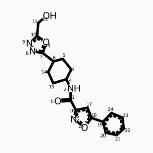 O=C(NC1CCC(c2nnc(CO)o2)CC1)c1cc(-c2ccccc2)on1